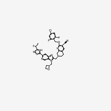 N#Cc1cc2c(nc1OCc1c(F)cc(Cl)cc1F)CN(Cc1nc3cc(-c4nnc(C(F)F)[nH]4)ncc3n1C[C@@H]1CCO1)CC2